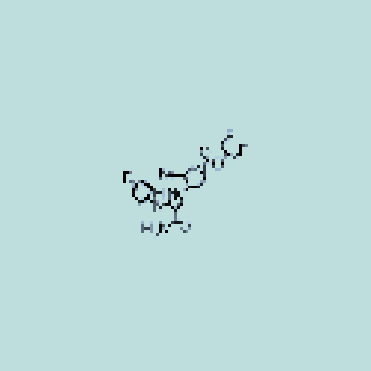 N#CC1CN(C(=O)OC(CF)CF)CCC1n1cc(C(N)=O)c(Nc2ccc(F)cc2)n1